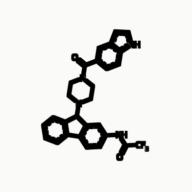 O=C(c1ccc2[nH]ccc2c1)N1CCN(C2c3ccccc3-c3ccc(NC(=O)C(F)(F)F)cc32)CC1